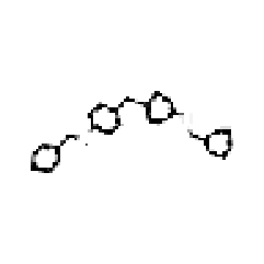 c1ccc(CNc2ccc(Cc3ccc(NCc4ccccc4)cc3)cc2)cc1